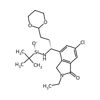 CCN1Cc2c(cc(Cl)cc2[C@@H](CCC2OCCCO2)N[S@@+]([O-])C(C)(C)C)C1=O